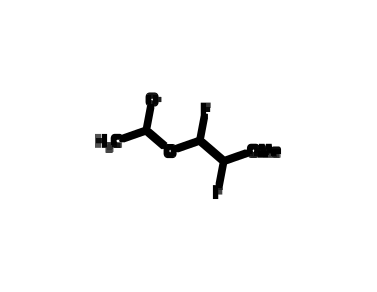 COC(F)C(F)OC(C)[O]